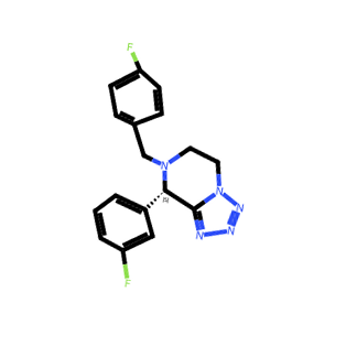 Fc1ccc(CN2CCn3nnnc3[C@@H]2c2cccc(F)c2)cc1